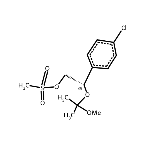 COC(C)(C)O[C@H](COS(C)(=O)=O)c1ccc(Cl)cc1